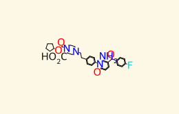 Nc1c(C(=O)c2ccc(F)cc2)ccc(=O)n1-c1ccc(CCN2CCN(C(=O)OC3CCCC3)C(C(=O)O)C2)cc1